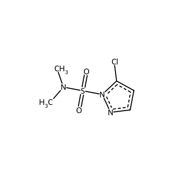 CN(C)S(=O)(=O)n1nccc1Cl